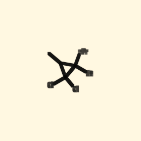 CCCC1(CC)C(C)C1(Cl)Cl